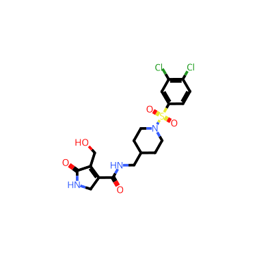 O=C1NCC(C(=O)NCC2CCN(S(=O)(=O)c3ccc(Cl)c(Cl)c3)CC2)=C1CO